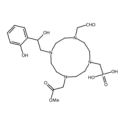 COC(=O)CN1CCN(CC(O)c2ccccc2O)CCN(CC=O)CCN(CP(=O)(O)O)CC1